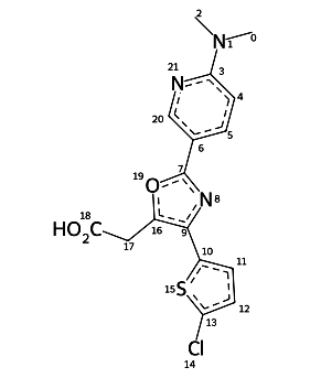 CN(C)c1ccc(-c2nc(-c3ccc(Cl)s3)c(CC(=O)O)o2)cn1